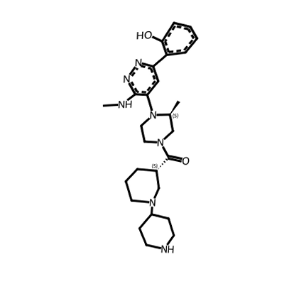 CNc1nnc(-c2ccccc2O)cc1N1CCN(C(=O)[C@H]2CCCN(C3CCNCC3)C2)C[C@@H]1C